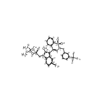 Cc1c(C2=NN(Cc3cccc(C(F)(F)F)c3)S(=O)(=O)c3ccccc32)c2cc(F)ccc2n1CC(=O)OC(C)(C)C